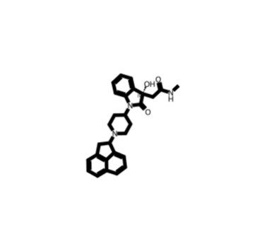 CNC(=O)C[C@@]1(O)C(=O)N(C2CCN(C3Cc4cccc5cccc3c45)CC2)c2ccccc21